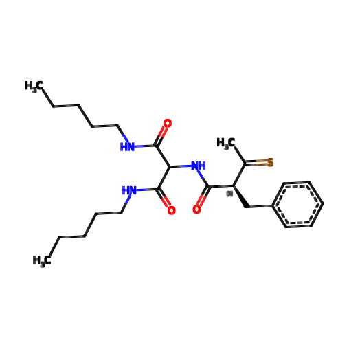 CCCCCNC(=O)C(NC(=O)[C@H](Cc1ccccc1)C(C)=S)C(=O)NCCCCC